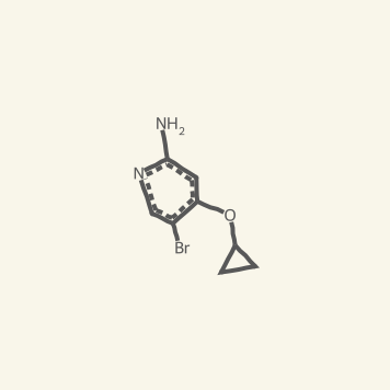 Nc1cc(OC2CC2)c(Br)cn1